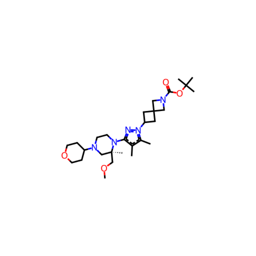 COC[C@@]1(C)CN(C2CCOCC2)CCN1c1nn(C2CC3(C2)CN(C(=O)OC(C)(C)C)C3)c(C)c1C